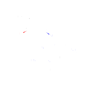 C=N/C(=N\C(N[C@@H]1CC[C@@H](C)[C@H](O)C1)=C(/C)C(N)=O)NCC1CC1